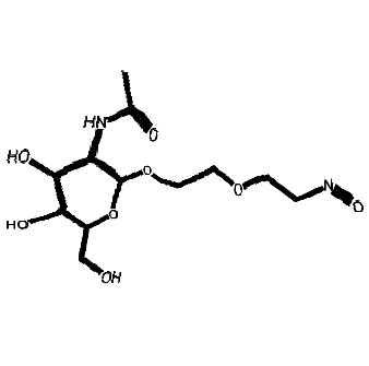 CC(=O)NC1C(OCCOCCN=O)OC(CO)C(O)C1O